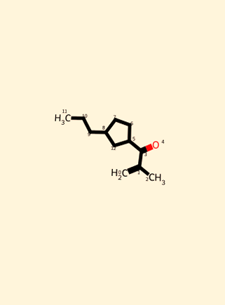 C=C(C)C(=O)C1CCC(CCC)C1